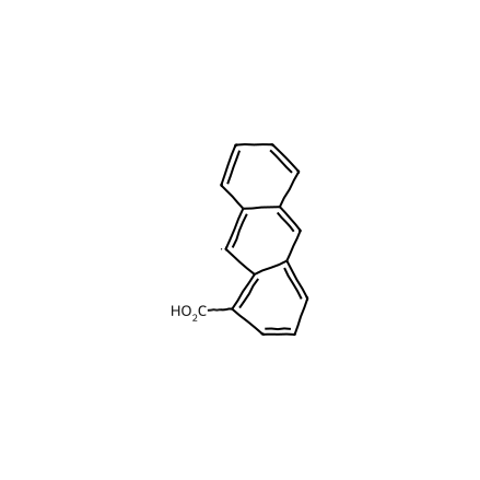 O=C(O)c1cccc2cc3ccccc3[c]c12